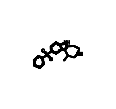 CC1CNCCc2[nH]c3ccc(S(=O)(=O)c4ccccc4)cc3c21